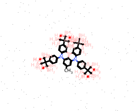 BC(B)(B)C(c1ccc(N2c3ccc(C(C(B)(B)B)(C(B)(B)B)C(B)(B)B)cc3B3c4cc(C(C(B)(B)B)(C(B)(B)B)C(B)(B)B)ccc4N(c4ccc(C(C(B)(B)B)(C(B)(B)B)C(B)(B)B)cc4)c4cc(C)cc2c43)cc1)(C(B)(B)B)C(B)(B)B